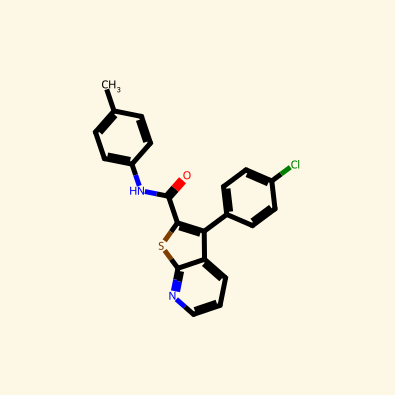 Cc1ccc(NC(=O)c2sc3ncccc3c2-c2ccc(Cl)cc2)cc1